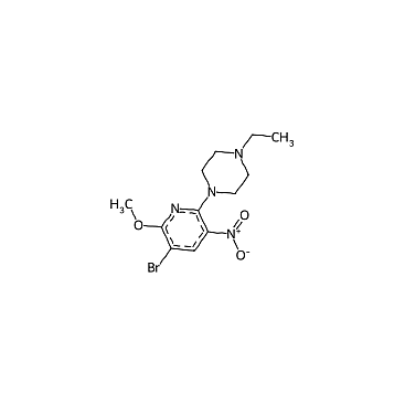 CCN1CCN(c2nc(OC)c(Br)cc2[N+](=O)[O-])CC1